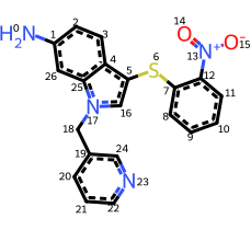 Nc1ccc2c(Sc3ccccc3[N+](=O)[O-])cn(Cc3cccnc3)c2c1